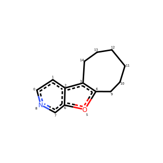 c1cc2c3c(oc2cn1)CCCCCC3